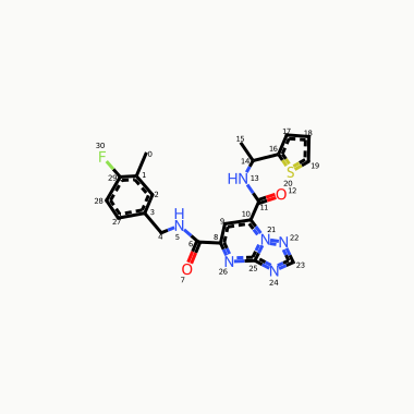 Cc1cc(CNC(=O)c2cc(C(=O)NC(C)c3cccs3)n3ncnc3n2)ccc1F